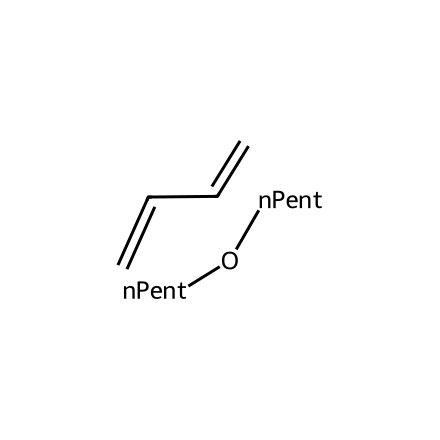 C=CC=C.CCCCCOCCCCC